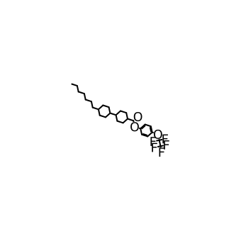 CCCCCCCC1CCC(C2CCC(C(=O)Oc3ccc(OC(F)(F)C(F)(F)F)cc3)CC2)CC1